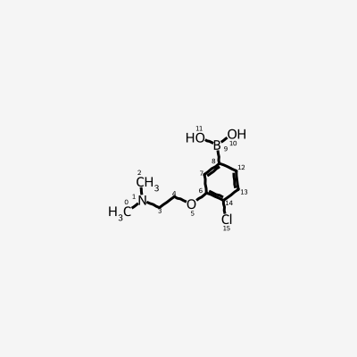 CN(C)CCOc1cc(B(O)O)ccc1Cl